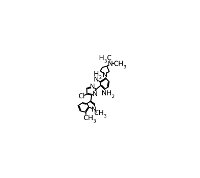 Cc1cccc2c(-c3nc(-c4c(N)ccc(N5CCC(N(C)C)C5)c4N)ncc3Cl)cn(C)c12